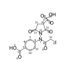 O=C(O)c1ccc(N(C(=O)CI)N2C(=O)CC(S(=O)(=O)O)C2=O)cc1